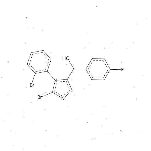 OC(c1ccc(F)cc1)c1cnc(Br)n1-c1ccccc1Br